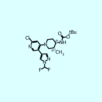 C[C@@H]1CN(c2cc(Cl)ncc2-c2cnn(C(F)F)c2)CC[C@H]1NC(=O)OC(C)(C)C